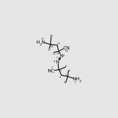 CC(C)(N)CC(C)(C#N)/N=N/C(C)(C#N)CC(C)(C)N